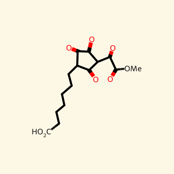 COC(=O)C(=O)C1C(=O)C(=O)C(CCCCCCC(=O)O)C1=O